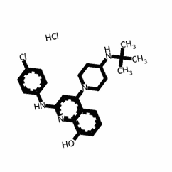 CC(C)(C)NC1CCN(c2cc(Nc3ccc(Cl)cc3)nc3c(O)cccc23)CC1.Cl